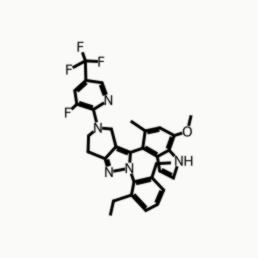 CCc1cccc(CC)c1-n1nc2c(c1-c1c(C)cc(OC)c3[nH]ccc13)CN(c1ncc(C(F)(F)F)cc1F)CC2